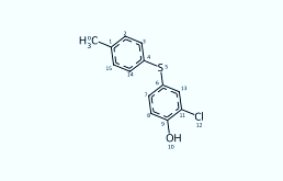 Cc1ccc(Sc2ccc(O)c(Cl)c2)cc1